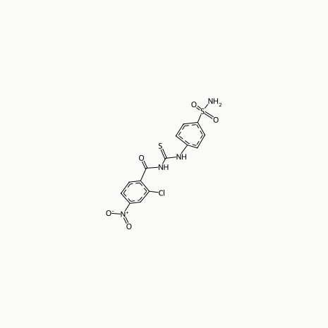 NS(=O)(=O)c1ccc(NC(=S)NC(=O)c2ccc([N+](=O)[O-])cc2Cl)cc1